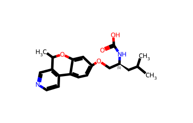 CC(C)C[C@@H](COc1ccc2c(c1)OC(C)c1cnccc1-2)NC(=O)O